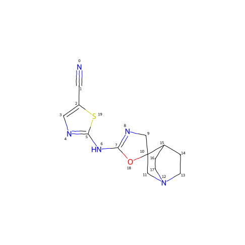 N#Cc1cnc(NC2=NCC3(CN4CCC3CC4)O2)s1